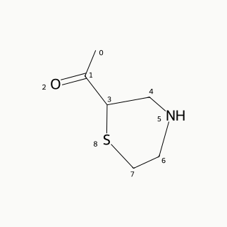 CC(=O)C1CNCCS1